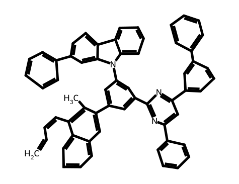 C=C/C=C\c1c(C)c(-c2cc(-c3nc(-c4ccccc4)cc(-c4cccc(-c5ccccc5)c4)n3)cc(-n3c4ccccc4c4ccc(-c5ccccc5)cc43)c2)cc2ccccc12